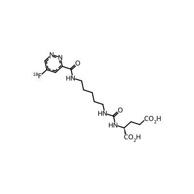 O=C(O)CC[C@H](NC(=O)NCCCCCNC(=O)c1cc([18F])cnn1)C(=O)O